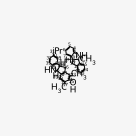 C[C@@]12Nc3ccccc3[C@@H]1Cc1ccccc12.Cc1cc2c(c(C)c1O)C[C@H]1c3cc(C(C)C)ccc3N[C@@H]21